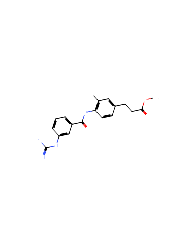 Cc1cc(CCC(=O)OC(C)(C)C)ccc1NC(=O)c1cccc(NC(=N)N)c1